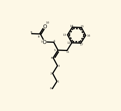 CCCC/C=C(/COC(C)=O)Cc1ccccc1